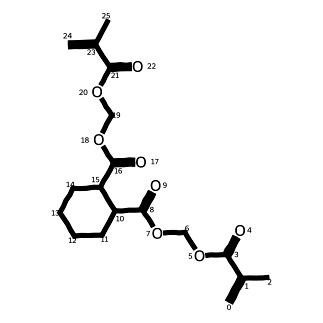 C=C(C)C(=O)OCOC(=O)C1CCCCC1C(=O)OCOC(=O)C(=C)C